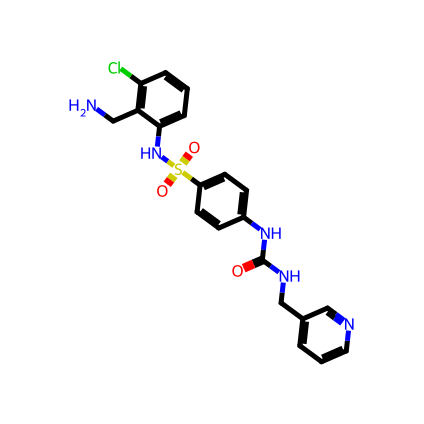 NCc1c(Cl)cccc1NS(=O)(=O)c1ccc(NC(=O)NCc2cccnc2)cc1